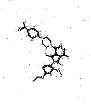 CCOc1ccc(-n2c(C)c3c(C)nnc(N4CCN(c5ccc(C(C)=O)cc5)CC4)c3c2C)c(OC)c1